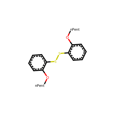 CCCCCOc1ccccc1SSc1ccccc1OCCCCC